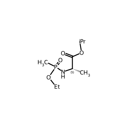 CCOP(C)(=O)N[C@@H](C)C(=O)OC(C)C